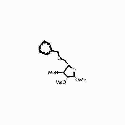 CN[C@@H]1[C@@H](OC)[C@@H](OC)O[C@@H]1COCc1ccccc1